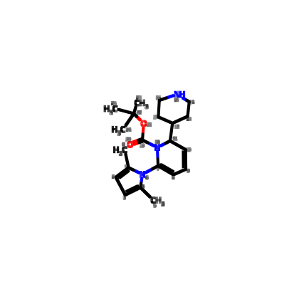 Cc1ccc(C)n1C1=CC=CC(C2CCNCC2)N1C(=O)OC(C)(C)C